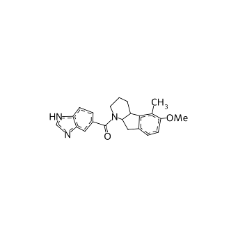 COc1ccc2c(c1C)C1CCCN(C(=O)c3ccc4[nH]cnc4c3)C1C2